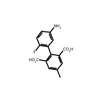 Cc1cc(C(=O)O)c(-c2cc(N)ccc2F)c(C(=O)O)c1